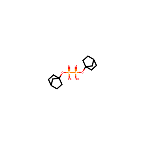 O=P(O)(OC12CCC(CC1)C2)P(=O)(O)OC12CCC(CC1)C2